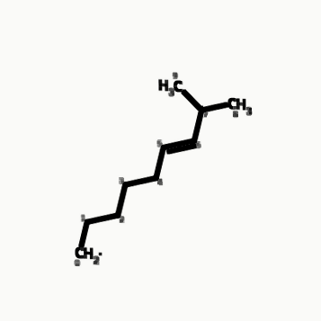 [CH2]CCCCC=C[C](C)C